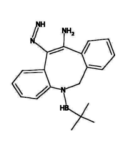 CC(C)(C)BN1Cc2ccccc2/C(N)=C(/N=N)c2ccccc21